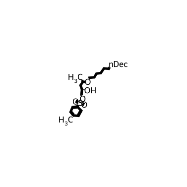 CCCCCCCCCCCCCCCCOC(C)C[C@H](O)COS(=O)(=O)c1ccc(C)cc1